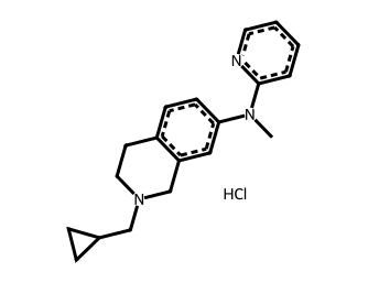 CN(c1ccc2c(c1)CN(CC1CC1)CC2)c1ccccn1.Cl